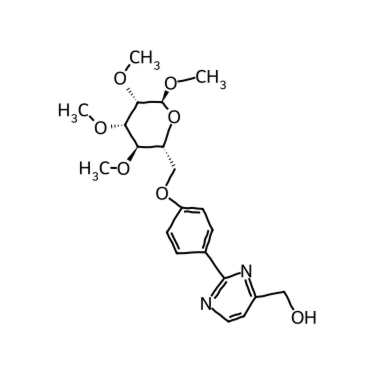 CO[C@H]1O[C@H](COc2ccc(-c3nccc(CO)n3)cc2)[C@@H](OC)[C@H](OC)[C@@H]1OC